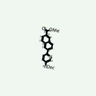 CCCCCCCCCCc1ccc(-c2ccc3cc(C(=O)OC)ccc3c2)nc1